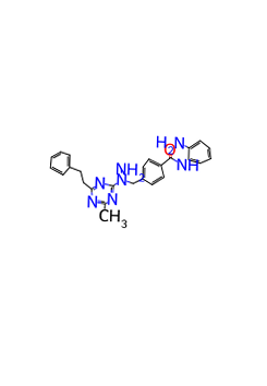 Cc1nc(CCc2ccccc2)nc(N(N)Cc2ccc(C(=O)Nc3ccccc3N)cc2)n1